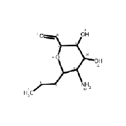 CCCC1OC(C=O)C(O)C(O)C1N